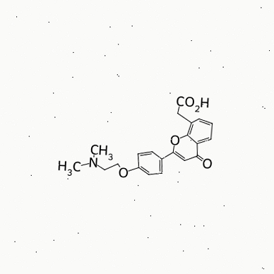 CN(C)CCOc1ccc(-c2cc(=O)c3cccc(CC(=O)O)c3o2)cc1